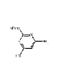 CCCCCc1nc(N)cc(O)n1